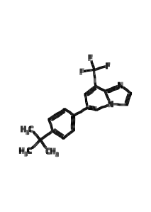 CC(C)(C)c1ccc(-c2cc(C(F)(F)F)c3nccn3c2)cc1